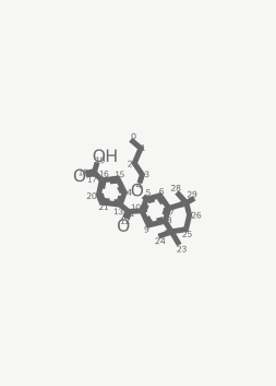 CCCCOc1cc2c(cc1C(=O)c1ccc(C(=O)O)cc1)C(C)(C)CCC2(C)C